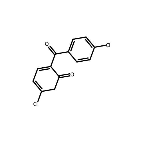 O=C1CC(Cl)=CC=C1C(=O)c1ccc(Cl)cc1